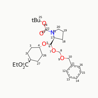 CCOC(=O)[C@H]1CC[C@H](OC(OCOCc2ccccc2)[C@@H]2CCCN2C(=O)OC(C)(C)C)CC1